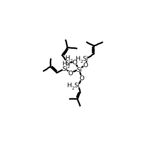 CC(C)=C[SiH2]O[Si](O[SiH2]C=C(C)C)(O[SiH2]C=C(C)C)O[SiH2]C=C(C)C